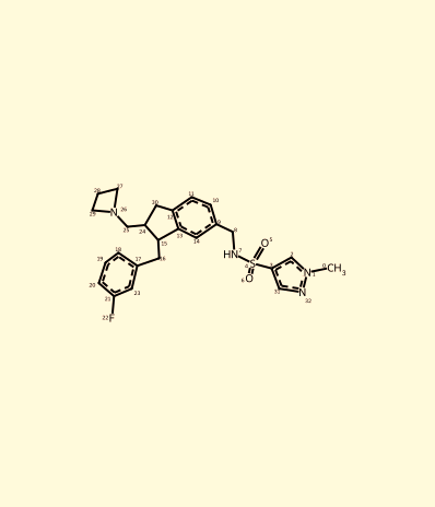 Cn1cc(S(=O)(=O)NCc2ccc3c(c2)C(Cc2cccc(F)c2)C(CN2CCC2)C3)cn1